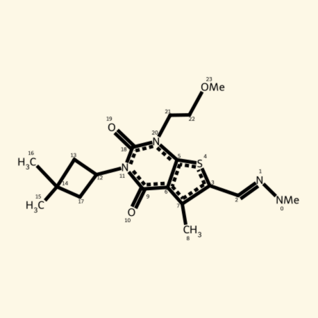 CN/N=C/c1sc2c(c1C)c(=O)n(C1CC(C)(C)C1)c(=O)n2CCOC